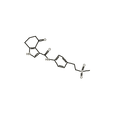 CS(=O)(=O)CCc1ccc(NC(=O)c2c[nH]c3c2C(=O)CCC3)cc1